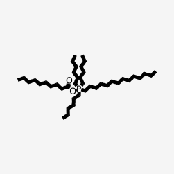 CCCCCCCCCCCCCCP(CCCCCC)(CCCCCC)(CCCCCC)OC(=O)CCCCCCCCC